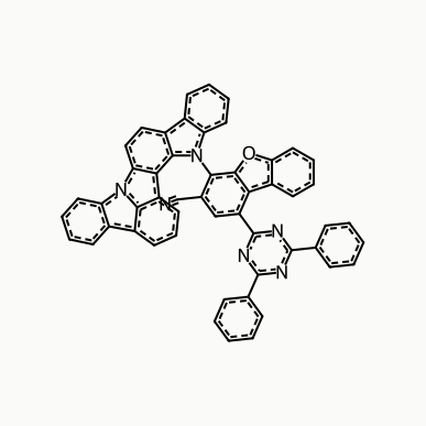 N#Cc1cc(-c2nc(-c3ccccc3)nc(-c3ccccc3)n2)c2c(oc3ccccc32)c1-n1c2ccccc2c2ccc3c(c4cccc5c6ccccc6n3c54)c21